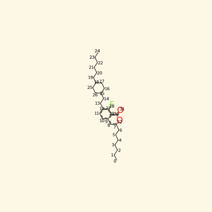 CCCCCCCc1cc2ccc(CCC3CCC(CCCCCC)CC3)c(F)c2c(=O)o1